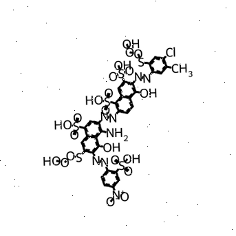 Cc1cc(N=Nc2c(S(=O)(=O)O)cc3c(S(=O)(=O)O)c(N=Nc4cc(S(=O)(=O)O)c5cc(SOOO)c(N=Nc6ccc([N+](=O)[O-])cc6S(=O)(=O)O)c(O)c5c4N)ccc3c2O)c(SOOO)cc1Cl